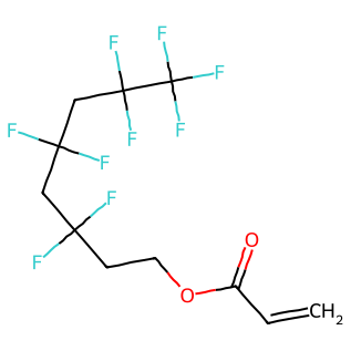 C=CC(=O)OCCC(F)(F)CC(F)(F)CC(F)(F)C(F)(F)F